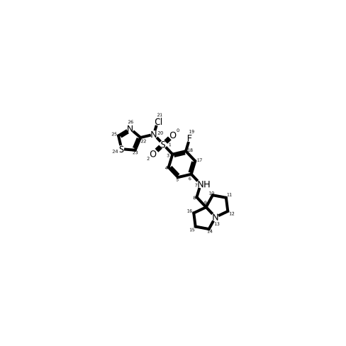 O=S(=O)(c1ccc(NCC23CCCN2CCC3)cc1F)N(Cl)c1cscn1